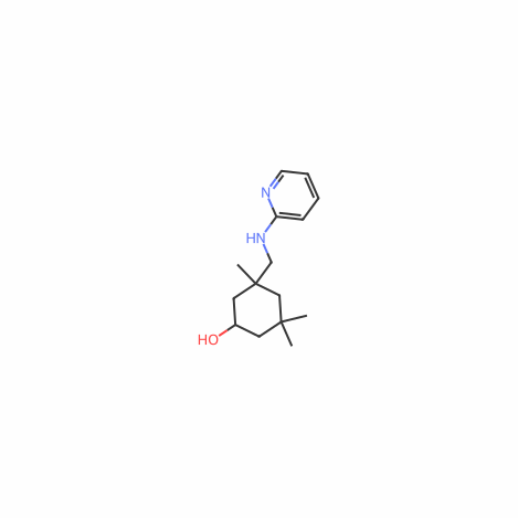 CC1(C)CC(O)CC(C)(CNc2ccccn2)C1